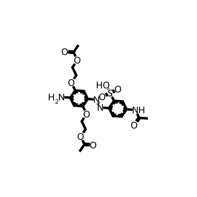 CC(=O)Nc1ccc(/N=N/c2cc(OCCOC(C)=O)c(N)cc2OCCOC(C)=O)c(S(=O)(=O)O)c1